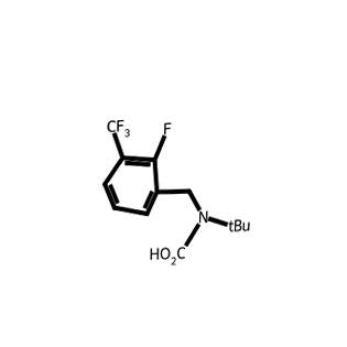 CC(C)(C)N(Cc1cccc(C(F)(F)F)c1F)C(=O)O